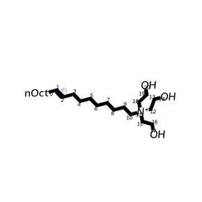 CCCCCCCC/C=C/CCCCCCCC[N+](CCO)(CCO)CCO